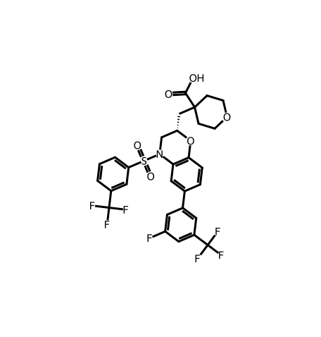 O=C(O)C1(C[C@H]2CN(S(=O)(=O)c3cccc(C(F)(F)F)c3)c3cc(-c4cc(F)cc(C(F)(F)F)c4)ccc3O2)CCOCC1